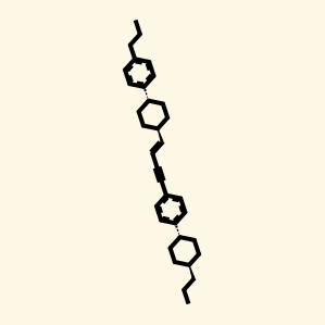 CCCc1ccc([C@H]2CC[C@H](C=CC#Cc3ccc([C@H]4CC[C@H](CCC)CC4)cc3)CC2)cc1